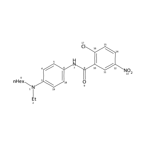 CCCCCCN(CC)c1ccc(NC(=O)c2cc([N+](=O)[O-])ccc2Cl)cc1